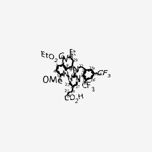 CCOC(=O)N1c2ccc(OC)nc2[C@@H](N(Cc2cc(C(F)(F)F)cc(C(F)(F)F)c2)c2ncc(CCC(=O)O)cn2)C[C@H]1CC